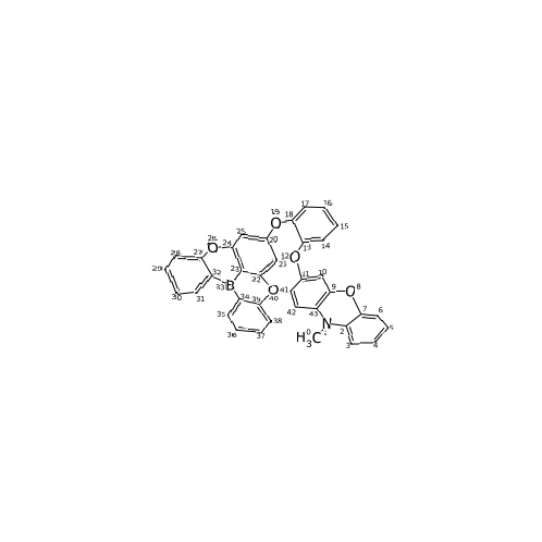 CN1c2ccccc2Oc2cc(Oc3ccccc3Oc3cc4c5c(c3)Oc3ccccc3B5c3ccccc3O4)ccc21